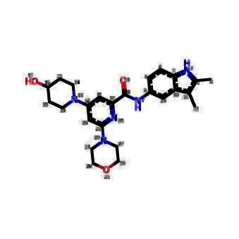 Cc1[nH]c2ccc(NC(=O)c3cc(N4CCC(O)CC4)cc(N4CCOCC4)n3)cc2c1C